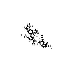 CCn1nc(C(=O)NCC2(O)CCC(S(C)(=O)=O)CC2O)c(C)c1-c1ccc(CC(C)C(F)(F)F)cc1OC(F)F